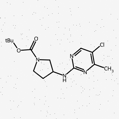 Cc1nc(NC2CCN(C(=O)OC(C)(C)C)C2)ncc1Cl